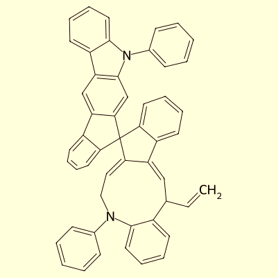 C=CC1/C=C2\C(=C/CN(c3ccccc3)c3ccccc31)C1(c3ccccc32)c2ccccc2-c2cc3c4ccccc4n(-c4ccccc4)c3cc21